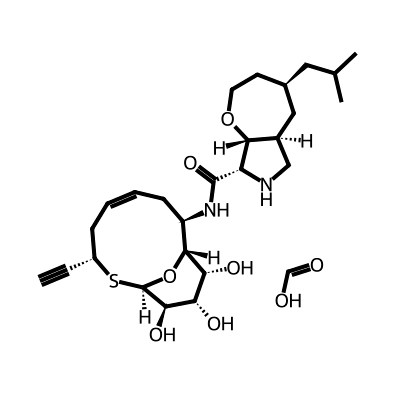 C#C[C@@H]1C/C=C\C[C@@H](NC(=O)[C@H]2NC[C@@H]3C[C@H](CC(C)C)CCO[C@H]32)[C@H]2O[C@H](S1)[C@H](O)[C@@H](O)[C@H]2O.O=CO